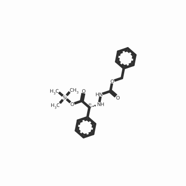 C[Si](C)(C)OC(=O)[C@H](NNC(=O)OCc1ccccc1)c1ccccc1